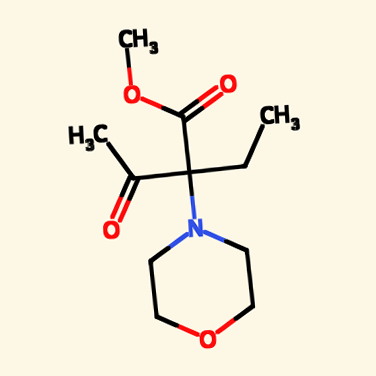 CCC(C(C)=O)(C(=O)OC)N1CCOCC1